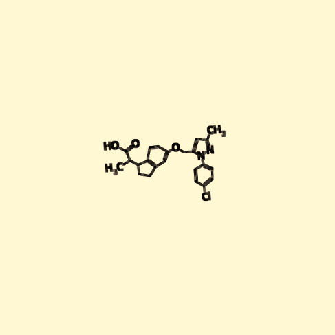 Cc1cc(COc2ccc3c(c2)CCC3C(C)C(=O)O)n(-c2ccc(Cl)cc2)n1